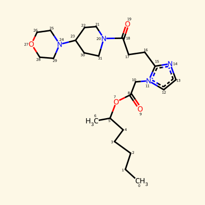 CCCCCC(C)OC(=O)Cn1ccnc1CCC(=O)N1CCC(N2CCOCC2)CC1